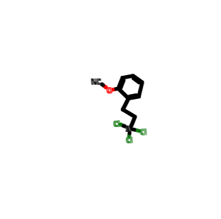 N#COc1ccccc1CC[Si](Cl)(Cl)Cl